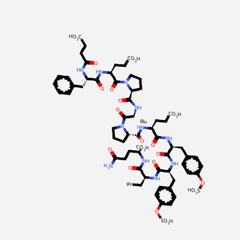 CC[C@H](C)[C@H](NC(=O)[C@@H]1CCCN1C(=O)[C@H](CCC(=O)O)NC(=O)[C@H](Cc1ccccc1)NC(=O)CCC(=O)O)C(=O)N1CCC[C@H]1C(=O)N[C@@H](CCC(=O)O)C(=O)N[C@@H](Cc1ccc(OS(=O)(=O)O)cc1)C(=O)N[C@@H](Cc1ccc(OS(=O)(=O)O)cc1)C(=O)N[C@@H](CC(C)C)C(=O)N[C@@H](CCC(N)=O)C(=O)O